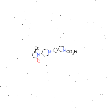 CC[C@@H]1CCC(=O)N1C1CCN(C2CC3(CCN(C(=O)O)C3)C2)CC1